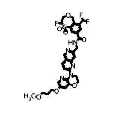 COCCCOc1cnc2c(c1)OCCN2c1ccc2cnc(CNC(=O)c3cc(C(F)F)c4c(c3)S(=O)(=O)[C@@H](F)COC4)cc2n1